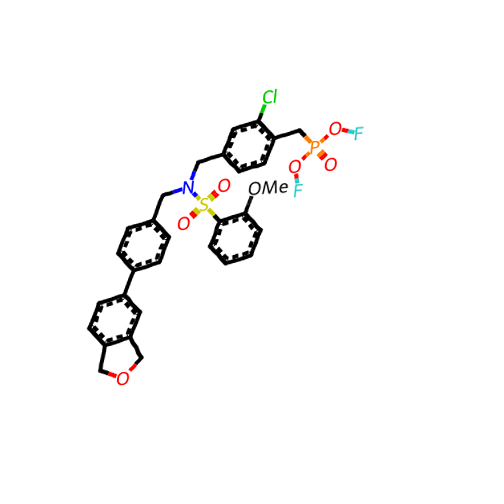 COc1ccccc1S(=O)(=O)N(Cc1ccc(-c2ccc3c(c2)COC3)cc1)Cc1ccc(CP(=O)(OF)OF)c(Cl)c1